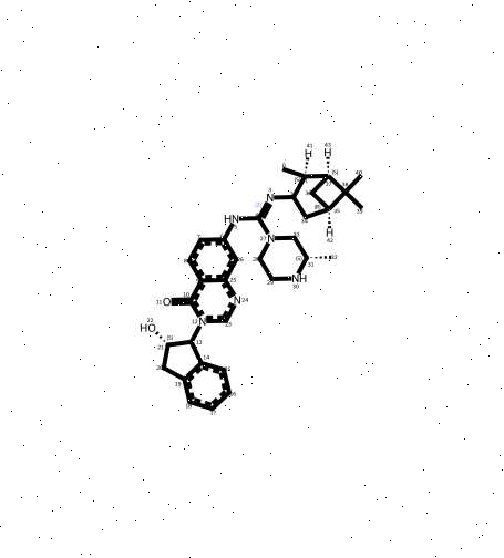 C[C@@H]1C(/N=C(/Nc2ccc3c(=O)n(C4c5ccccc5C[C@@H]4O)cnc3c2)N2CCN[C@@H](C)C2)C[C@H]2C[C@@H]1C2(C)C